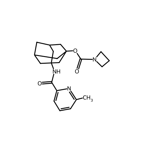 Cc1cccc(C(=O)NC23CC4CC(C2)CC(OC(=O)N2CCC2)(C4)C3)n1